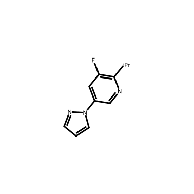 CC(C)c1ncc(-n2cccn2)cc1F